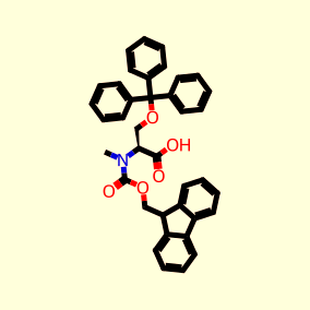 CN(C(=O)OCC1c2ccccc2-c2ccccc21)[C@@H](COC(c1ccccc1)(c1ccccc1)c1ccccc1)C(=O)O